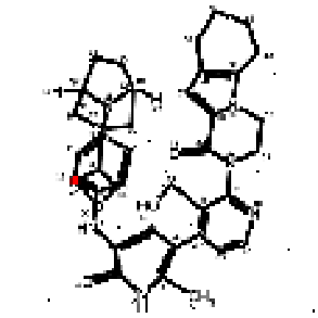 Cc1[nH]c(=O)c(Nc2ccc(N3[C@@H]4CC[C@H]3CN(C3COC3)C4)cn2)cc1-c1ccnc(N2CCn3c(cc4c3CCCC4)C2=O)c1CO